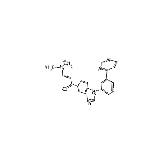 CN(C)C=CC(=O)c1ccc2c(c1)ncn2-c1cccc(-c2ccncn2)c1